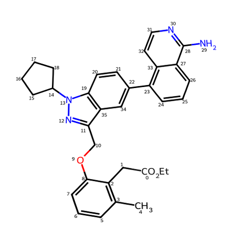 CCOC(=O)Cc1c(C)cccc1OCc1nn(C2CCCC2)c2ccc(-c3cccc4c(N)nccc34)cc12